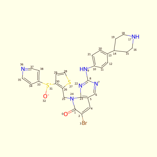 O=c1c(Br)cc2cnc(Nc3ccc(C4CCNCC4)cc3)nc2n1Cc1sccc1[S+]([O-])c1ccncc1